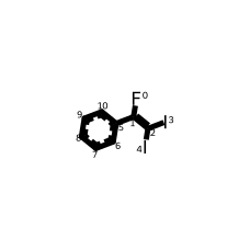 FC(=C(I)I)c1ccccc1